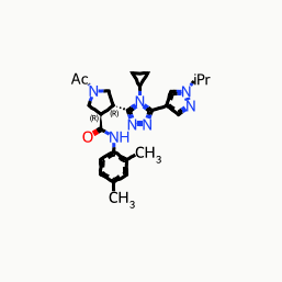 CC(=O)N1C[C@H](C(=O)Nc2ccc(C)cc2C)[C@@H](c2nnc(-c3cnn(C(C)C)c3)n2C2CC2)C1